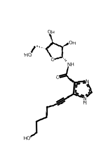 O=C(N[C@@H]1O[C@H](CO)[C@@H](O)[C@H]1O)c1nc[nH]c1C#CCCCCO